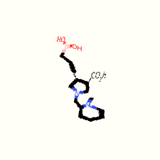 CN1CCCCC1CN1C[C@H](CCCB(O)O)[C@H](C(=O)O)C1